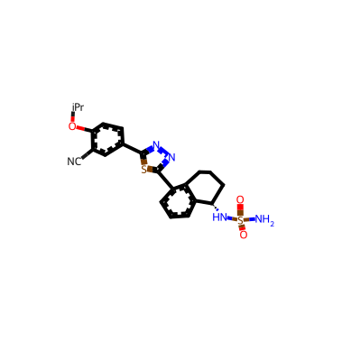 CC(C)Oc1ccc(-c2nnc(-c3cccc4c3CCC[C@@H]4NS(N)(=O)=O)s2)cc1C#N